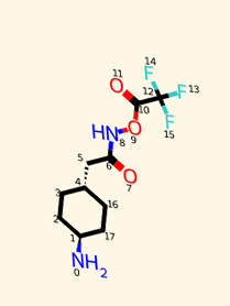 N[C@H]1CC[C@H](CC(=O)NOC(=O)C(F)(F)F)CC1